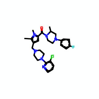 Cc1c(CN2CCN(c3ncccc3Cl)CC2)cc(C(=O)N2CCN(c3ccc(F)cc3)CC2C)n1C